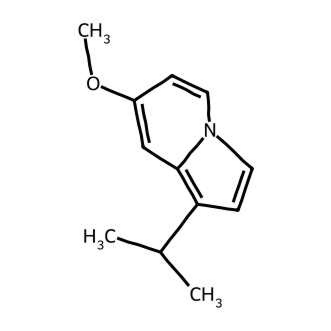 COc1ccn2ccc(C(C)C)c2c1